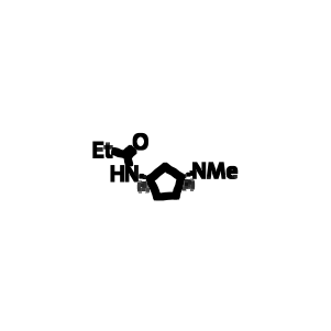 CCC(=O)N[C@H]1CC[C@@H](NC)C1